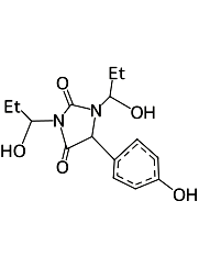 CCC(O)N1C(=O)C(c2ccc(O)cc2)N(C(O)CC)C1=O